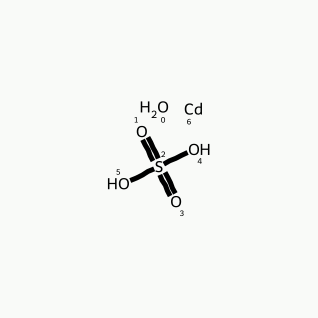 O.O=S(=O)(O)O.[Cd]